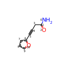 NC(=O)CC#Cc1ccco1